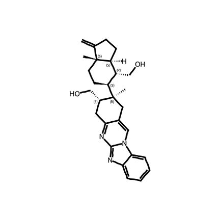 C=C1CC[C@H]2[C@H](CO)[C@@H]([C@@]3(C)Cc4cn5c(nc4C[C@@H]3CO)nc3ccccc35)CC[C@]12C